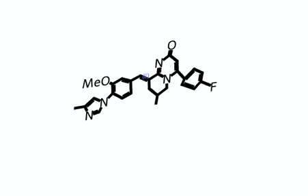 COc1cc(/C=C2\CC(C)Cn3c(-c4ccc(F)cc4)cc(=O)nc32)ccc1-n1cnc(C)c1